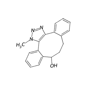 Cn1nnc2c1-c1ccccc1C(O)CCc1ccccc1-2